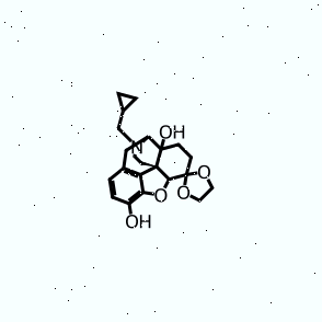 Oc1ccc2c3c1OC1C4(CCC5(O)C(C2)N(CC2CC2)CC[C@]315)OCCO4